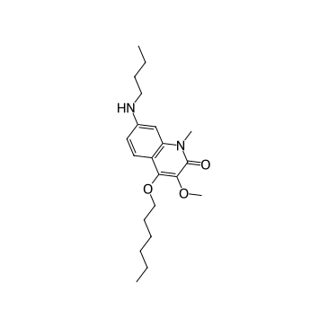 CCCCCCOc1c(OC)c(=O)n(C)c2cc(NCCCC)ccc12